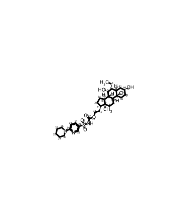 CC[C@H]1[C@@H](O)[C@@H]2[C@H](CC[C@]3(C)[C@@H](CCOC(=O)NS(=O)(=O)c4ccc(N5CCCCC5)nc4)CC[C@@H]23)[C@@]2(C)CC[C@@H](O)C[C@@H]12